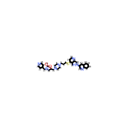 Cc1c(SCCCN2CCN(CC3CN(Cc4ccncc4)C(=O)O3)CC2)ccnc1CNc1cnc2ccccc2c1